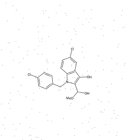 COC(O)c1c(O)c2cc(Cl)ccc2n1Cc1ccc(Cl)cc1